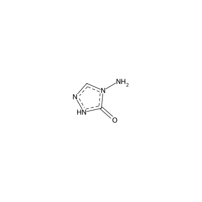 Nn1cn[nH]c1=O